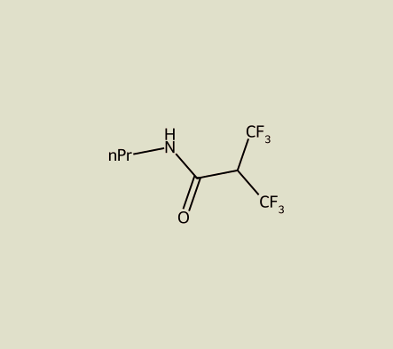 CCCNC(=O)C(C(F)(F)F)C(F)(F)F